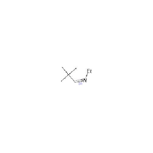 CC/N=C\C(C)(C)C